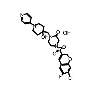 Cl.O=C1CN(S(=O)(=O)C2=Cc3cc(F)c(Cl)cc3OC2)CCN1CC1(O)CCN(c2ccncc2)CC1